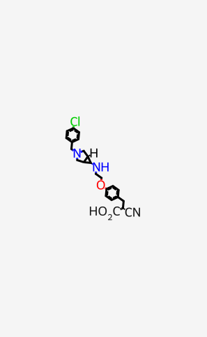 N#C[C@H](Cc1ccc(OCCN[C@H]2C3CN(Cc4ccc(Cl)cc4)C[C@@H]32)cc1)C(=O)O